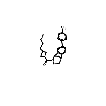 O=C(C1CN(CCCF)C1)N1CCC2CC1c1cc(-c3ccc(C(F)(F)F)cc3)ccc12